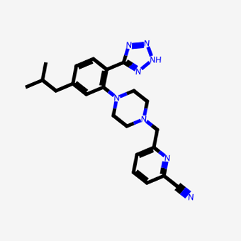 CC(C)Cc1ccc(-c2nn[nH]n2)c(N2CCN(Cc3cccc(C#N)n3)CC2)c1